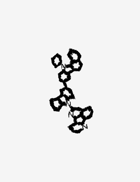 c1ccc(-n2c3ccc(-c4ccc5c(c4)c4ccccc4n5-c4cc5cccc6c5c(n4)-c4cccnc4-6)cc3c3ccc4ccccc4c32)cc1